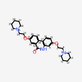 O=c1[nH]c2cc(OCCN3CCCCC3)ccc2c2ccc(OCCN3CCCCC3)cc12